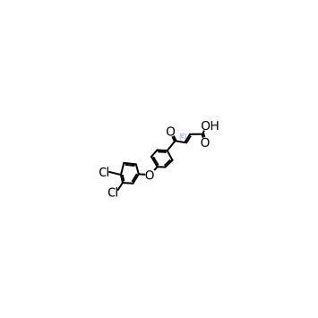 O=C(O)/C=C/C(=O)c1ccc(Oc2ccc(Cl)c(Cl)c2)cc1